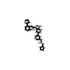 c1csc(-c2cccc3[nH]c(-c4n[nH]c5ncc(-c6cncc(CNCC7CCCC7)c6)cc45)cc23)c1